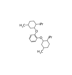 CC1CCC(C(C)C)C(Oc2[c]cccc2OC2CC(C)CCC2C(C)C)C1